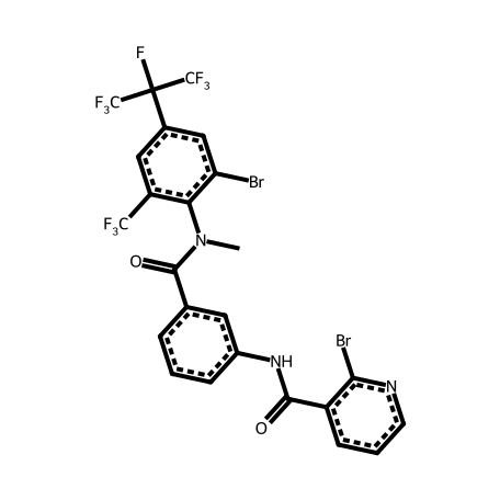 CN(C(=O)c1cccc(NC(=O)c2cccnc2Br)c1)c1c(Br)cc(C(F)(C(F)(F)F)C(F)(F)F)cc1C(F)(F)F